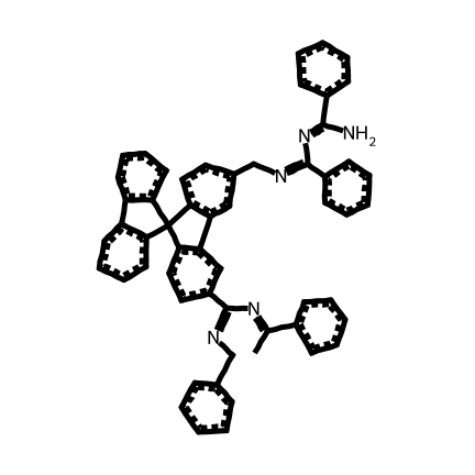 C/C(=N\C(=N/Cc1ccccc1)c1ccc2c(c1)-c1cc(C/N=C(\N=C(/N)c3ccccc3)c3ccccc3)ccc1C21c2ccccc2-c2ccccc21)c1ccccc1